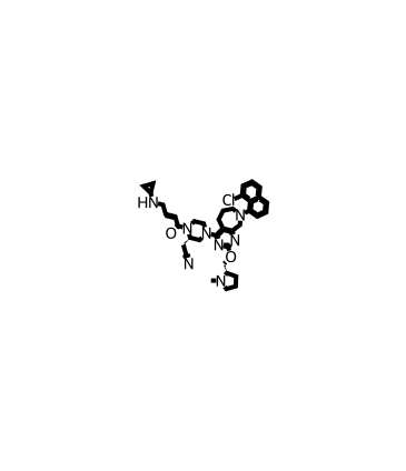 CN1CCC[C@H]1COc1nc2c(c(N3CCN(C(=O)/C=C/CNC4CC4)[C@@H](CC#N)C3)n1)CCCN(c1cccc3cccc(Cl)c13)C2